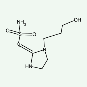 NS(=O)(=O)N=C1NCCN1CCCO